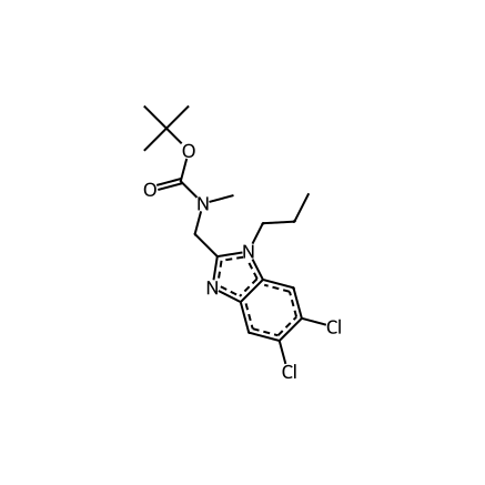 CCCn1c(CN(C)C(=O)OC(C)(C)C)nc2cc(Cl)c(Cl)cc21